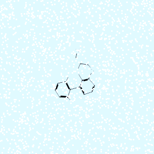 NC[C@@H]1CNc2cccc(-c3c(Cl)cccc3Cl)c2O1